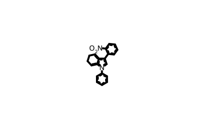 O=[N+]([O-])c1ccccc1-c1cn(-c2ccccc2)c2c1=CCCC=2